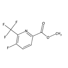 COC(=O)c1ccc(F)c(C(F)(F)F)n1